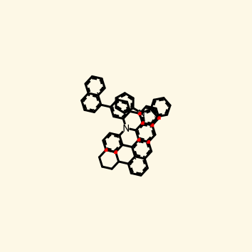 c1ccc(-c2ccc(-c3cccc4ccccc34)cc2N(c2ccccc2-c2cccc3cccc(C4CCCCC4)c23)c2cccc3c4ccccc4n(-c4ccccc4)c23)cc1